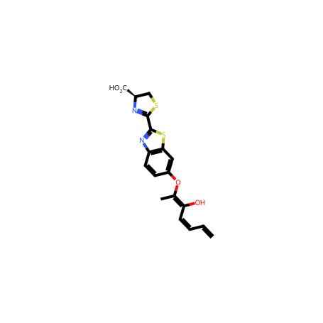 C=C/C=C\C(O)=C(/C)Oc1ccc2nc(C3=N[C@@H](C(=O)O)CS3)sc2c1